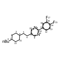 CCCCC1CCC(CCc2cnc(-c3ccc(F)c(F)c3)nc2)CC1